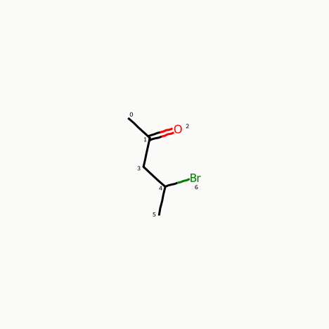 CC(=O)CC(C)Br